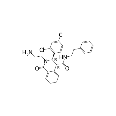 NCCN1C(=O)C2=CCCC=C2[C@@H](C(=O)NCCc2ccccc2)[C@@H]1c1ccc(Cl)cc1Cl